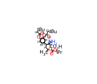 CC(C)OC(=O)OC(C)CC(c1ccc(OC(=O)CC(C)(C)C)c(OC(=O)CC(C)(C)C)c1)[C@H](N)C(=O)O